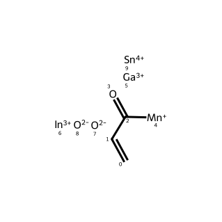 C=C[C](=O)[Mn+].[Ga+3].[In+3].[O-2].[O-2].[Sn+4]